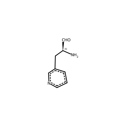 N[C@H](C=O)Cc1cccnc1